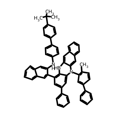 Cc1ccc(-c2ccccc2)cc1N1c2cc3ccccc3cc2Bc2c(-c3cc4ccccc4cc3Nc3ccc(-c4ccc(C(C)(C)C)cc4)cc3)cc(-c3ccccc3)cc21